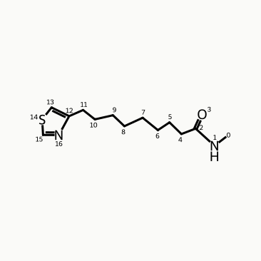 CNC(=O)CCCCCCCCc1cscn1